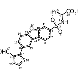 CC(C)[C@H](NS(=O)(=O)c1ccc2c(c1)oc1ccc(-c3sccc3C=O)cc12)C(=O)O